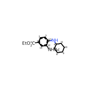 CCOC(=O)c1ccc(NC2CCCCC2)c(NC(C)=O)c1